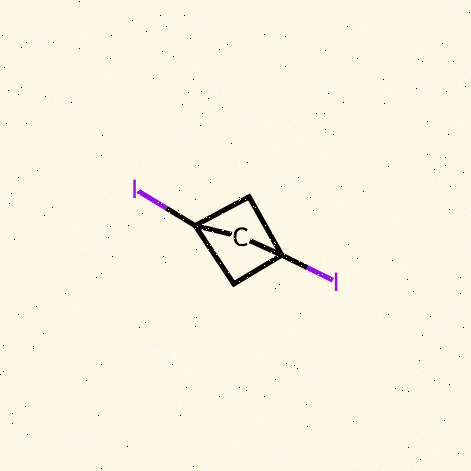 IC12CC(I)(C1)C2